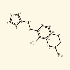 Cc1c(CSc2nncs2)ccc2c1OB(N)CC2